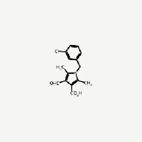 Cc1c(C=O)c(C(=O)O)c(C)n1Cc1cccc(Cl)c1